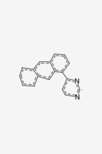 [c]1nccc(-c2cccc3cc4ccccc4cc23)n1